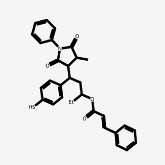 CCC(CC(c1ccc(S)cc1)C1C(=O)N(c2ccccc2)C(=O)C1C)OC(=O)C=Cc1ccccc1